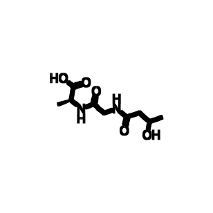 CC(O)CC(=O)NCC(=O)N[C@@H](C)C(=O)O